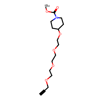 C#CCOCCOCCOCCOC1CCN(C(=O)OC(C)(C)C)CC1